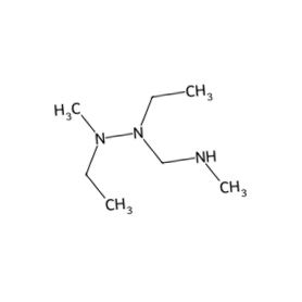 CCN(C)N(CC)CNC